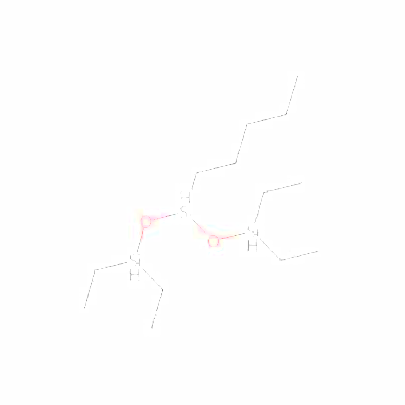 CCCCC[SiH](O[SiH](CC)CC)O[SiH](CC)CC